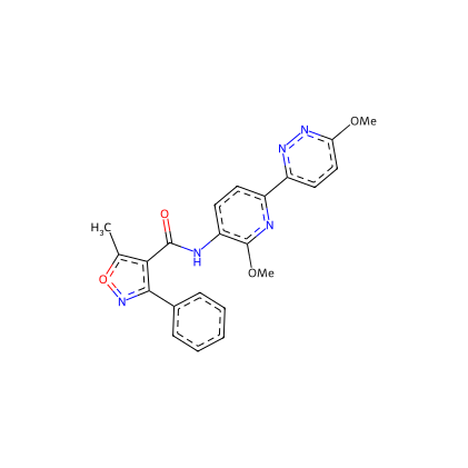 COc1ccc(-c2ccc(NC(=O)c3c(-c4ccccc4)noc3C)c(OC)n2)nn1